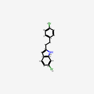 Brc1ccc(CCc2cc3ccc(Br)cc3[nH]2)cc1